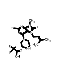 CC(C)=CCn1c(=O)n(C)c2nc(Cl)nc(N3CCNCC3)c21.O=C(O)C(F)(F)F